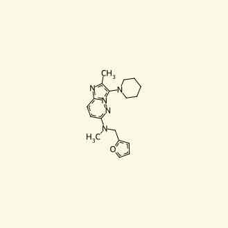 Cc1nc2ccc(N(C)Cc3ccco3)nn2c1N1CCCCC1